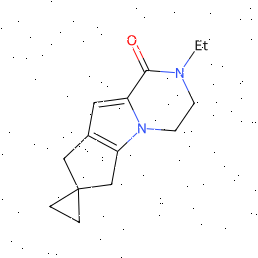 CCN1CCn2c(cc3c2CC2(CC2)C3)C1=O